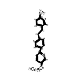 CCCCCCCCOc1ccc(-c2ccc(CCc3ccc(CCC)cc3)cc2)nc1